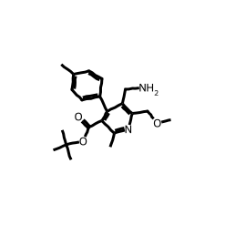 COCc1nc(C)c(C(=O)OC(C)(C)C)c(-c2ccc(C)cc2)c1CN